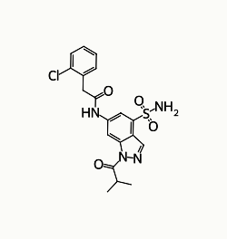 CC(C)C(=O)n1ncc2c(S(N)(=O)=O)cc(NC(=O)Cc3ccccc3Cl)cc21